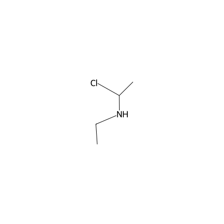 CCNC(C)Cl